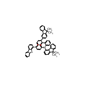 CC1(C)c2ccccc2-c2cc(-c3ccccc3-c3ccccc3N(c3ccc(-c4cccc5c4sc4ccccc45)cc3)c3cccc4c3-c3ccccc3C4(C)C)ccc21